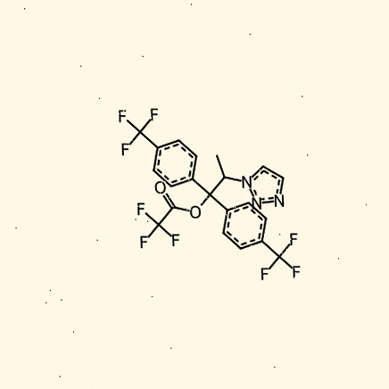 CC(n1ccnn1)C(OC(=O)C(F)(F)F)(c1ccc(C(F)(F)F)cc1)c1ccc(C(F)(F)F)cc1